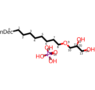 CCCCCCCCCCCCCCCCCCOC[C@@H](O)CO.O=P(O)(O)O